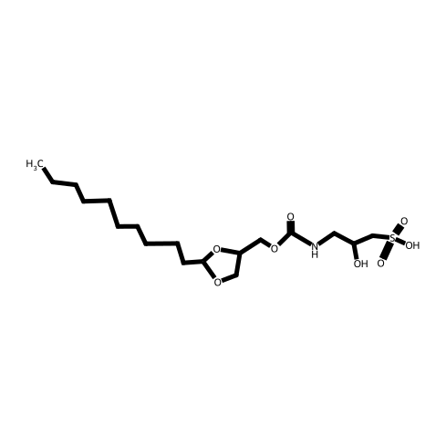 CCCCCCCCCCC1OCC(COC(=O)NCC(O)CS(=O)(=O)O)O1